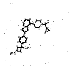 COC1(c2ccc(-c3cc4c(N5CCN(C(=O)C6CC6)CC5)ccnn4c3)cc2)CN(C(C)C)C1